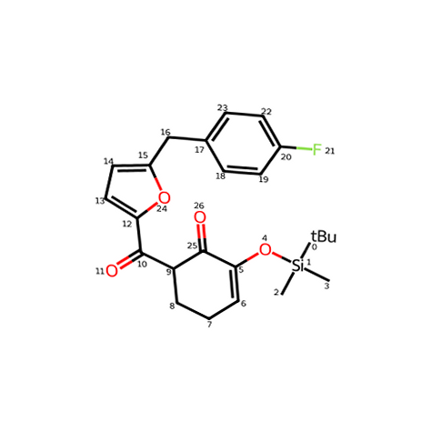 CC(C)(C)[Si](C)(C)OC1=CCCC(C(=O)c2ccc(Cc3ccc(F)cc3)o2)C1=O